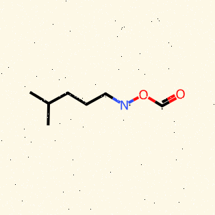 CC(C)CCC[N]O[C]=O